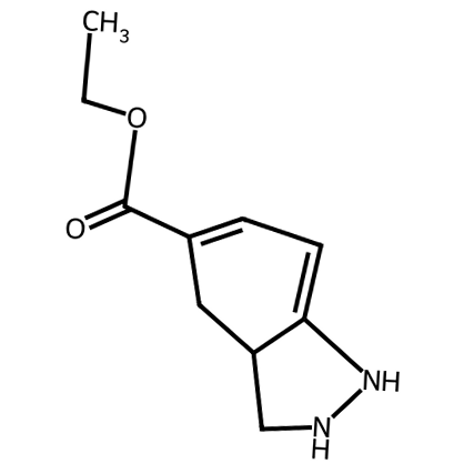 CCOC(=O)C1=CC=C2NNCC2C1